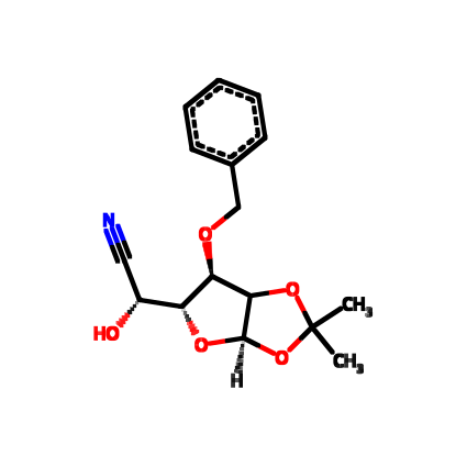 CC1(C)OC2[C@H](O[C@H]([C@H](O)C#N)[C@H]2OCc2ccccc2)O1